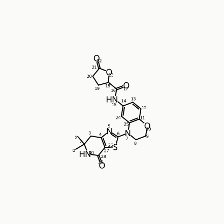 CC1(C)Cc2nc(N3CCOc4ccc(NC(=O)C5CCC(=O)O5)cc43)sc2C(=O)N1